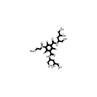 COCCN(C(C)=O)c1c(I)c(C(=O)NC(CO)CC(O)CO)c(I)c(C(=O)NC(CO)CC(O)CO)c1I